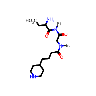 CCN(CC(=O)N(CC)C(=O)C(N)CC(=O)O)C(=O)CCCC1CCNCC1